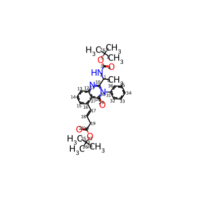 CC(NC(=O)OC(C)(C)C)c1nc2cccc(C=CCC(=O)OC(C)(C)C)c2c(=O)n1-c1ccccc1